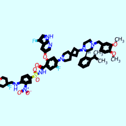 COc1ccc(CN2CCN(C3CC4(CCN(c5cc(Oc6cnc7[nH]cc(F)c7c6)c(C(=O)NS(=O)(=O)c6ccc(NCC7(F)CCOCC7)c([N+](=O)[O-])c6)cc5F)CC4)C3)[C@H](c3ccccc3C(C)C)C2)cc1OC